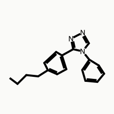 CCCCc1ccc(-c2nncn2-c2ccccc2)cc1